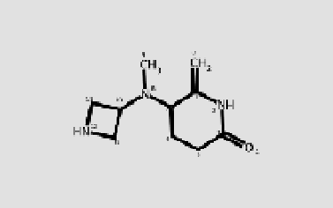 C=C1NC(=O)CCC1N(C)C1CNC1